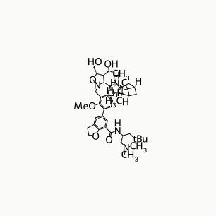 COc1c(CN2O[C@@H](CO)[C@@H]([C@H](C)O)[C@H]2C(=O)NC2C[C@H]3C[C@@H]([C@@H]2C)C3(C)C)cccc1-c1cc2c(c(C(=O)N[C@H](CN(C)C)CC(C)(C)C)c1)OCC2